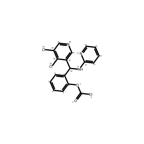 CCC(=O)Oc1ccccc1C(Nc1ccccn1)c1cncc(Cl)c1Cl